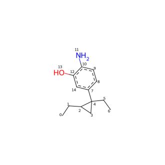 CCC1CC1(CC)c1ccc(N)c(O)c1